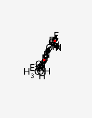 CC[C@@H]([C@H](C)O)N1NCN(c2ccc(N3CCN(c4ccc(OC[C@@H]5CO[C@@](Cn6cncn6)(c6ccc(F)cc6F)C5)cc4)CC3)cc2)C1=O